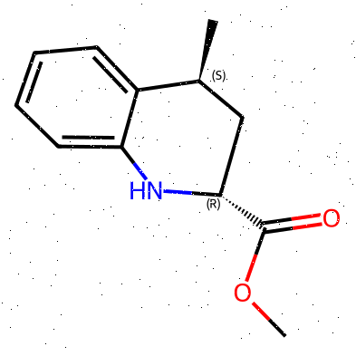 COC(=O)[C@H]1C[C@H](C)c2ccccc2N1